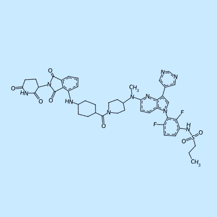 CCCS(=O)(=O)Nc1ccc(F)c(-n2cc(-c3cncnc3)c3nc(N(C)C4CCN(C(=O)C5CCC(Nc6cccc7c6C(=O)N(C6CCC(=O)NC6=O)C7=O)CC5)CC4)ccc32)c1F